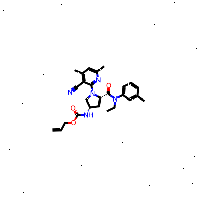 C=CCOC(=O)N[C@H]1C[C@@H](C(=O)N(CC)c2cccc(C)c2)N(c2nc(C)cc(C)c2C#N)C1